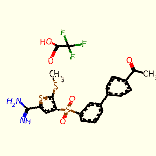 CSc1sc(C(=N)N)cc1S(=O)(=O)c1cccc(-c2ccc(C(C)=O)cc2)c1.O=C(O)C(F)(F)F